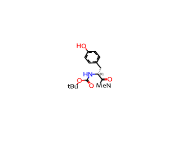 CNC(=O)[C@@H](Cc1ccc(O)cc1)NC(=O)OC(C)(C)C